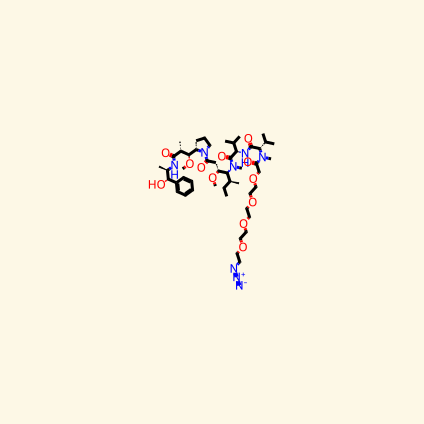 CC[C@H](C)[C@@H]([C@@H](CC(=O)N1CCC[C@H]1[C@H](OC)[C@@H](C)C(=O)N[C@H](C)[C@@H](O)c1ccccc1)OC)N(C)C(=O)[C@@H](NC(=O)[C@H](C(C)C)N(C)C(=O)COCCOCCOCCOCCN=[N+]=[N-])C(C)C